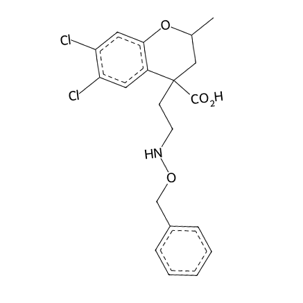 CC1CC(CCNOCc2ccccc2)(C(=O)O)c2cc(Cl)c(Cl)cc2O1